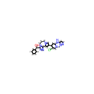 Cn1nccc1Nc1cc(-c2cc3n(c2)CCCn2c-3nnc2C(O)c2ccccc2)c(Cl)cn1